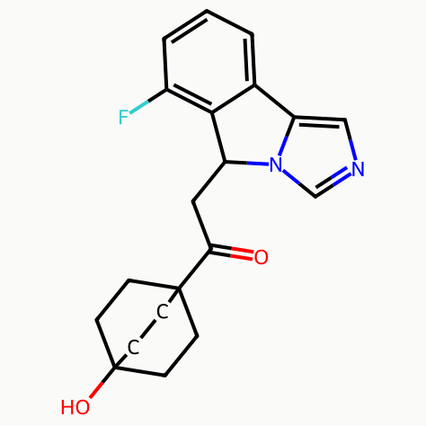 O=C(CC1c2c(F)cccc2-c2cncn21)C12CCC(O)(CC1)CC2